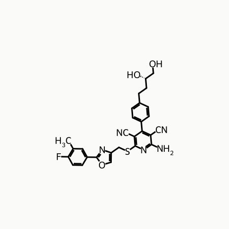 Cc1cc(-c2nc(CSc3nc(N)c(C#N)c(-c4ccc(CC[C@H](O)CO)cc4)c3C#N)co2)ccc1F